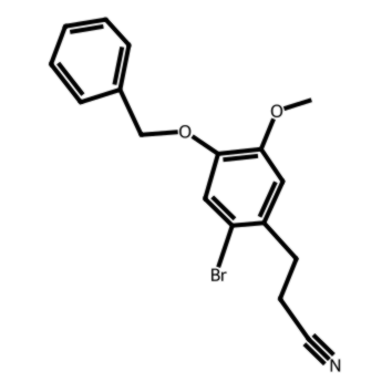 COc1cc(CCC#N)c(Br)cc1OCc1ccccc1